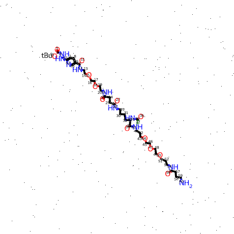 CC(C)(C)OC(=O)NNc1ccc(C(=O)NCCOCCOCCNC(=O)CCC(=O)NCCCCC(NC(=O)F)C(=O)NCCCOCCOCCOCCCNC(=O)CCCN)cn1